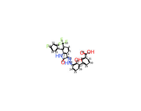 O=C1Nc2c(ccc(C(F)(F)F)c2-c2ccc(F)cc2)C1=NNc1cccc(-c2cccc(C(=O)O)c2)c1O